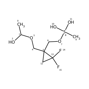 CC(O)OCC1(COS(C)(O)O)CC1(F)F